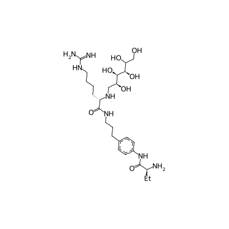 CC[C@H](N)C(=O)Nc1ccc(CCCNC(=O)[C@H](CCCCNC(=N)N)NC[C@H](O)[C@@H](O)[C@H](O)C(O)CO)cc1